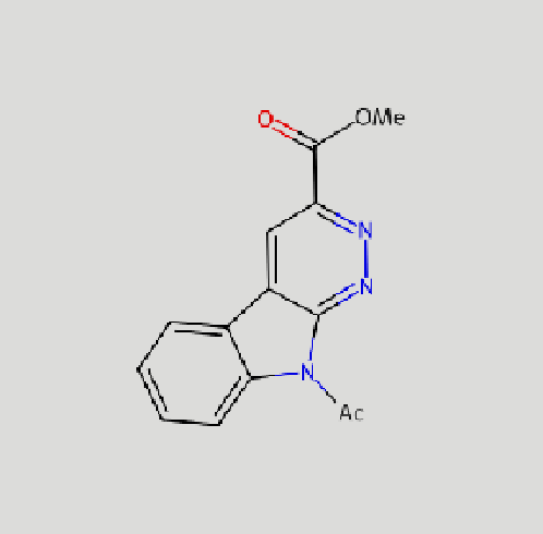 COC(=O)c1cc2c3ccccc3n(C(C)=O)c2nn1